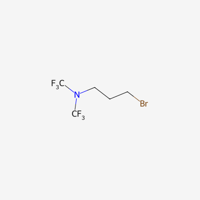 FC(F)(F)N(CCCBr)C(F)(F)F